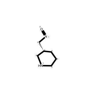 O=NC[C@@H]1CCCNC1